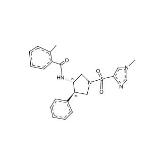 Cc1ccccc1C(=O)N[C@@H]1CN(S(=O)(=O)c2cn(C)cn2)C[C@H]1c1ccccc1